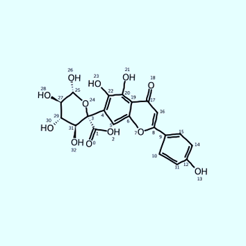 O=C(O)[C@@]1(c2cc3oc(-c4ccc(O)cc4)cc(=O)c3c(O)c2O)O[C@@H](O)[C@H](O)[C@@H](O)[C@@H]1O